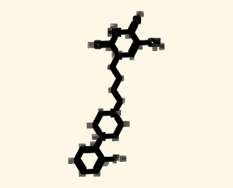 Cc1cn(CCCCN2CCN(c3ccccc3F)CC2)c(=O)[nH]c1=O